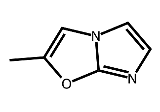 Cc1cn2ccnc2o1